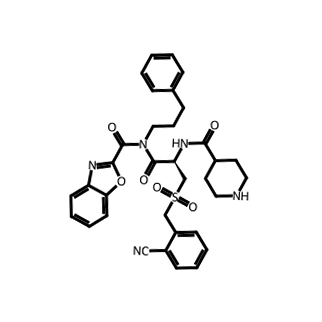 N#Cc1ccccc1CS(=O)(=O)C[C@H](NC(=O)C1CCNCC1)C(=O)N(CCCc1ccccc1)C(=O)c1nc2ccccc2o1